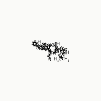 CC(C)C(=O)Nc1nc2c(ncn2[C@@H]2O[C@@H]3COP(OCCC#N)O[C@H]4[C@H](F)[C@H](n5nnc6c(NC(=O)c7ccccc7)ncnc65)O[C@@H]4COP(S)O[C@H]2C3)c(=O)[nH]1